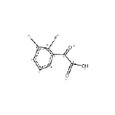 O=C(O)C(=O)c1cccc(I)c1F